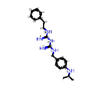 CC(C)Nc1ccc(CNC(=N)NC(=N)NCCc2ccccc2)cc1